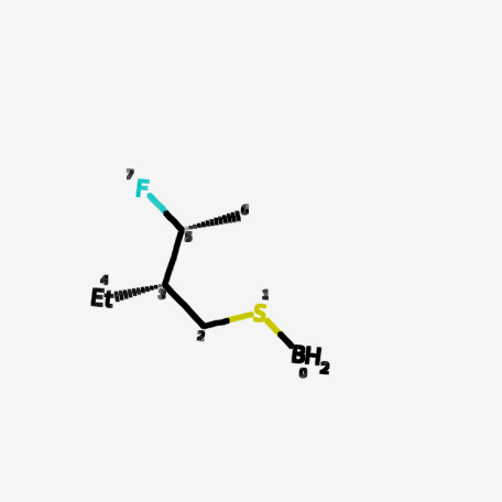 BSC[C@H](CC)[C@@H](C)F